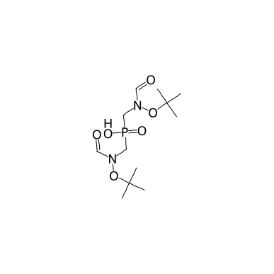 CC(C)(C)ON(C=O)CP(=O)(O)CN(C=O)OC(C)(C)C